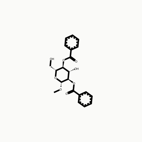 CO[C@@H]1O[C@H](CO)[C@@H](OC(=O)c2ccccc2)[C@H](O)[C@H]1OC(=O)c1ccccc1